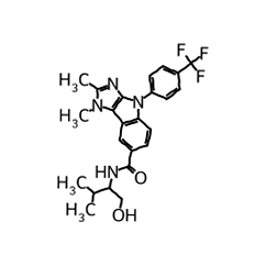 Cc1nc2c(c3cc(C(=O)NC(CO)C(C)C)ccc3n2-c2ccc(C(F)(F)F)cc2)n1C